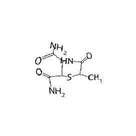 CC1SC(C(N)=O)C(C(N)=O)NC1=O